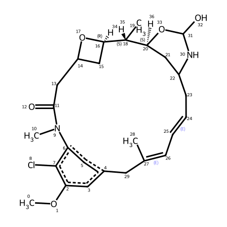 COc1cc2cc(c1Cl)N(C)C(=O)CC1C[C@@H](O1)[C@H](C)[C@@H]1CC(C/C=C/C=C(\C)C2)NC(O)O1